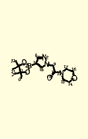 CC1(C)OB(c2cnn(CC(=O)N3CCOCC3)c2)OC1(C)C